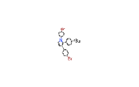 CC(C)(C)c1ccc(-c2c(-c3ccc(Br)cc3)ccn2-c2ccc(Br)cc2)cc1